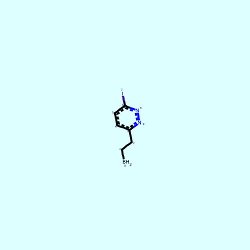 BCCc1ccc(I)nn1